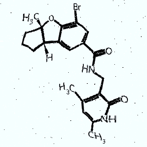 Cc1cc(C)c(CNC(=O)c2cc(Br)c3c(c2)[C@@H]2CCC[C@]2(C)O3)c(=O)[nH]1